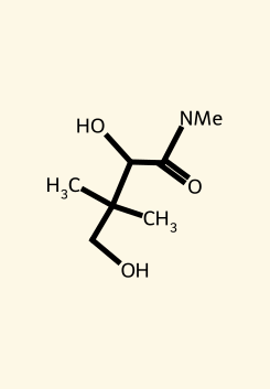 CNC(=O)C(O)C(C)(C)CO